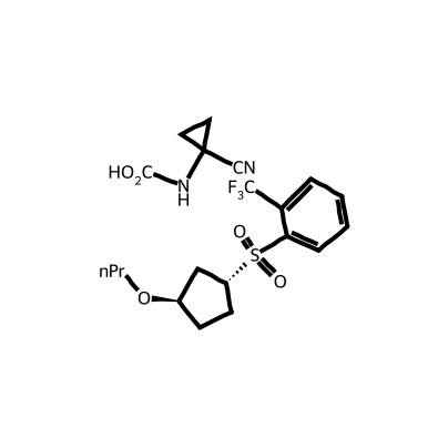 CCCO[C@@H]1CC[C@@H](S(=O)(=O)c2ccccc2C(F)(F)F)C1.N#CC1(NC(=O)O)CC1